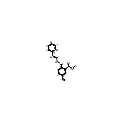 COC(=O)c1cc(Br)ccc1OCC=Cc1ccccc1